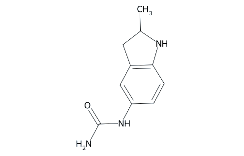 CC1Cc2cc(NC(N)=O)ccc2N1